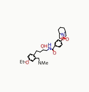 CCOc1ccc(CC[C@H](O)CNC(=O)c2ccc(C(=O)N3C4CCCC3COC4)cc2)c(CNC)c1